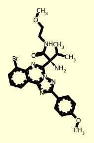 COCCNC(=O)[C@@](N)(c1nc2c(Br)cccc2c2nc(-c3ccc(OC)cc3)nn12)C(C)C